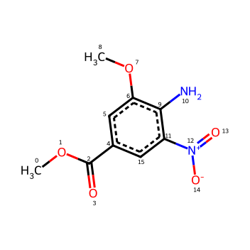 COC(=O)c1cc(OC)c(N)c([N+](=O)[O-])c1